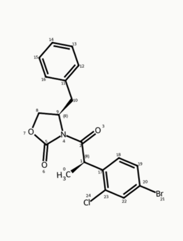 C[C@@H](C(=O)N1C(=O)OC[C@H]1Cc1ccccc1)c1ccc(Br)cc1Cl